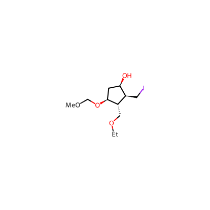 CCOC[C@H]1[C@H](CI)[C@H](O)C[C@@H]1OCOC